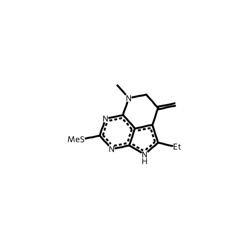 C=C1CN(C)c2nc(SC)nc3[nH]c(CC)c1c23